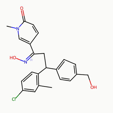 Cc1cc(Cl)ccc1C(C/C(=N/O)c1ccc(=O)n(C)c1)c1ccc(CO)cc1